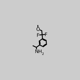 COCC(F)(F)c1cccc(C(C)N)c1